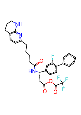 O=C(CCCCc1ccc2c(n1)NCCC2)N[C@@H](CC(=O)OC(=O)C(F)(F)F)c1ccc(-c2ccccc2)c(F)c1